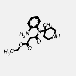 CCOC(=O)CC(=O)N(c1ccccc1N)C1(C)CCNCC1